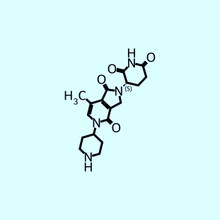 Cc1cn(C2CCNCC2)c(=O)c2c1C(=O)N([C@H]1CCC(=O)NC1=O)C2